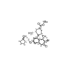 C[C@@H]1CN(C(=O)OC(C)(C)C)C[C@H](C)N1c1nc(OC[C@@H]2CCCN2C)nc2cc(Cl)c(Br)cc12